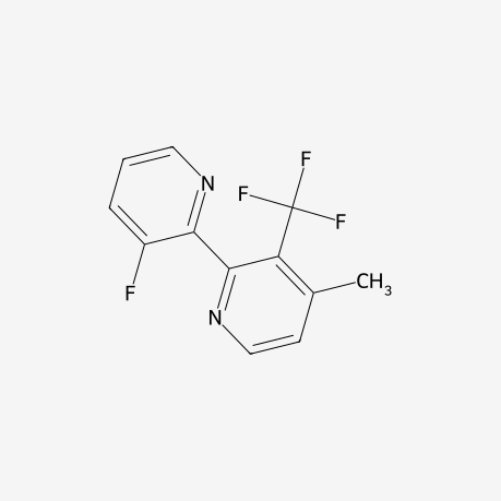 Cc1ccnc(-c2ncccc2F)c1C(F)(F)F